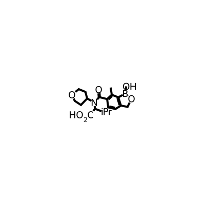 Cc1c(C(=O)N(C2CCOCC2)C(C(=O)O)C(C)C)ccc2c1B(O)OC2